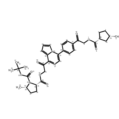 C[C@H]1CC[C@@H](C(=O)OCC(=O)c2ccc(-c3cnc(C(=O)COC(=O)[C@@H]4CC[C@H](C)N4C(=O)OC(C)(C)C)c4cccn34)cc2)C1